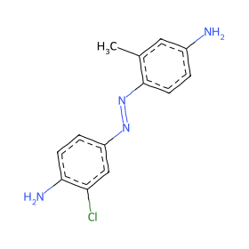 Cc1cc(N)ccc1N=Nc1ccc(N)c(Cl)c1